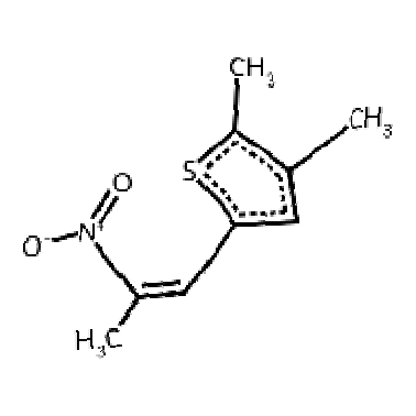 CC(=Cc1cc(C)c(C)s1)[N+](=O)[O-]